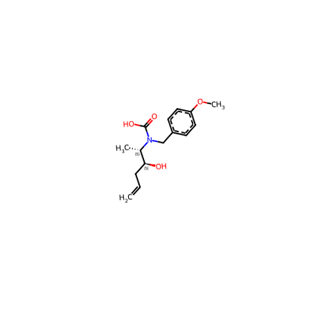 C=CC[C@H](O)[C@H](C)N(Cc1ccc(OC)cc1)C(=O)O